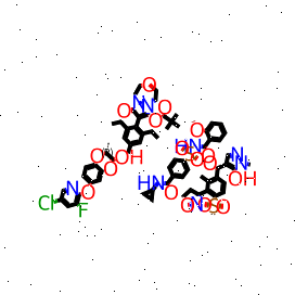 CCc1cc(C)cc(CC)c1-c1c(OC(=O)C(C)(C)C)n2n(c1=O)CCOCC2.COc1ccccc1C(=O)NS(=O)(=O)c1ccc(C(=O)NC2CC2)cc1.C[C@@H](Oc1ccc(Oc2ncc(Cl)cc2F)cc1)C(=O)O.Cc1c(C(=O)c2cnn(C)c2O)ccc(S(C)(=O)=O)c1C1=NOCC1